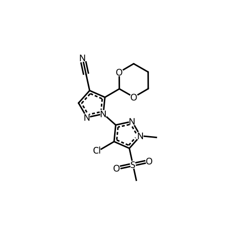 Cn1nc(-n2ncc(C#N)c2C2OCCCO2)c(Cl)c1S(C)(=O)=O